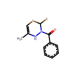 CC1=CSC([S])N(C(=O)c2ccccc2)N1